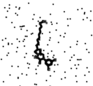 CSCCCCCCCCC1COC(CN(C(=O)O)c2cc(Cl)cc(Cl)c2)=N1